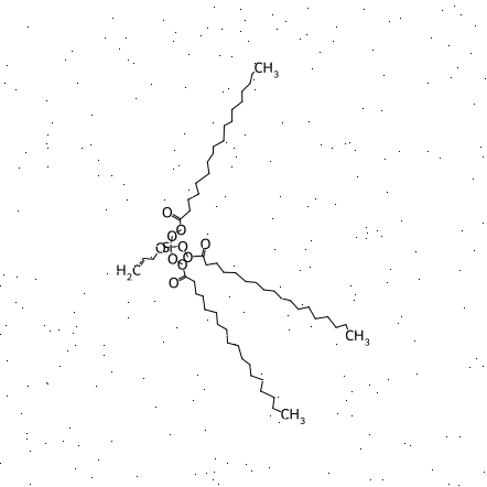 C=CCO[Si](OOC(=O)CCCCCCCCCCCCCCCCC)(OOC(=O)CCCCCCCCCCCCCCCCC)OOC(=O)CCCCCCCCCCCCCCCCC